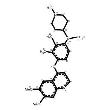 COc1cc2nccc(Oc3ccc(N(C(=O)O)C4CCN(C)CC4)c(C)c3C)c2cc1OC